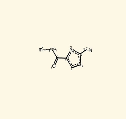 CC(C)NC(=O)c1ccc(C#N)s1